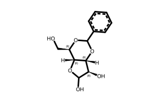 OC[C@H]1OC(c2ccccc2)O[C@H]2[C@@H]1OC(O)[C@@H]2O